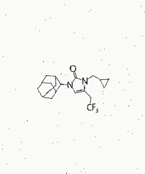 O=c1n(C2C3CC4CC(C3)CC2C4)cc(CC(F)(F)F)n1CC1CC1